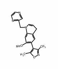 COc1cc2c(cc1-c1c(C)noc1C)CC=CN2Cc1cnccn1